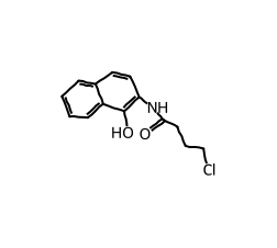 O=C(CCCCl)Nc1ccc2ccccc2c1O